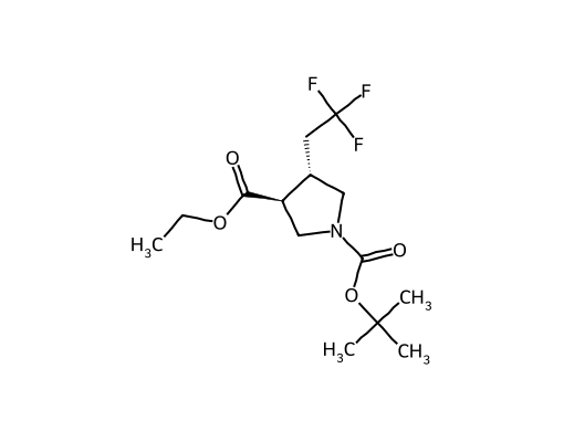 CCOC(=O)[C@@H]1CN(C(=O)OC(C)(C)C)C[C@H]1CC(F)(F)F